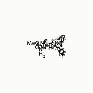 COC(=O)c1nc(Cl)c(N2CCN(c3cc(-c4ccc(F)cc4)nc(N4CCOCC4C)n3)C(C)C2)nc1N